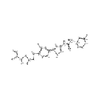 C=CC(=O)N1CC[C@H](COc2ccc(-c3nc(NC(=O)N[C@H]4CCCN(C)C4)cs3)cc2C)C1